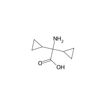 NC(C(=O)O)(C1CC1)C1CC1